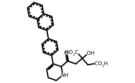 O=C(O)CC(O)(CC(=O)C1NCCC=C1c1ccc(-c2ccc3ccccc3c2)cc1)C(=O)O